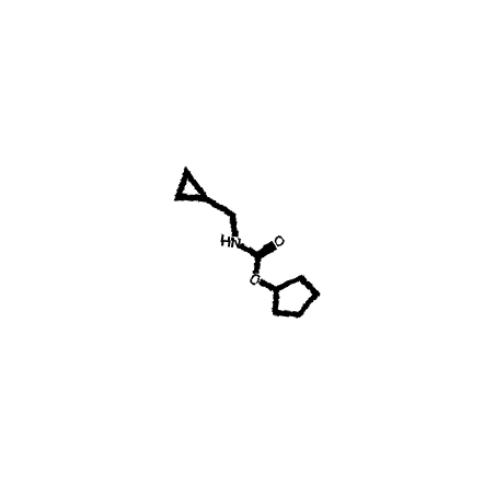 O=C(NCC1CC1)OC1CCCC1